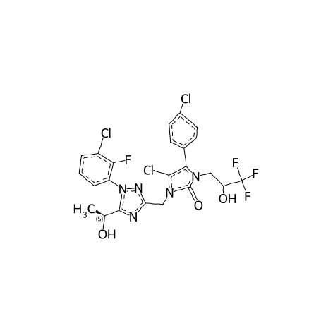 C[C@H](O)c1nc(Cn2c(Cl)c(-c3ccc(Cl)cc3)n(CC(O)C(F)(F)F)c2=O)nn1-c1cccc(Cl)c1F